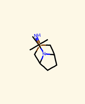 CC(C)(C)N1C2CCC1CS(=N)C2